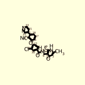 Cc1cc(=O)c(CNC(=O)c2ccc(Oc3cccc(-c4ccnnc4)c3C#N)c(Cl)c2)c(C)[nH]1